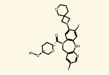 CC(C)O[C@H]1CC[C@H](C(=O)N2Cc3cc(F)cnc3Nc3cc(F)c(N4CC5(CCCOC5)C4)cc32)OC1